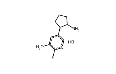 Cc1cc(N2CCCC2N)cnc1F.Cl